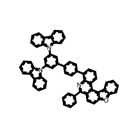 c1ccc(-c2nc3c(-c4ccc(-c5cc(-n6c7ccccc7c7ccccc76)cc(-n6c7ccccc7c7ccccc76)c5)cc4)cccc3c3c2ccc2oc4ccccc4c23)cc1